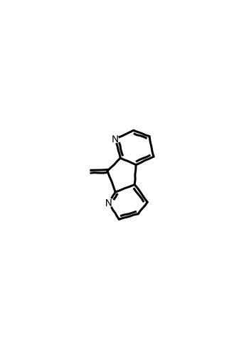 C=C1c2ncccc2-c2cccnc21